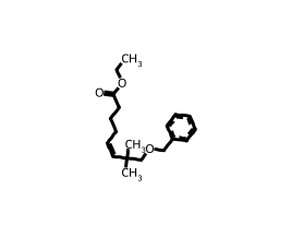 CCOC(=O)CCC/C=C\C(C)(C)COCc1ccccc1